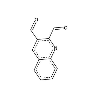 O=Cc1cc2ccccc2nc1C=O